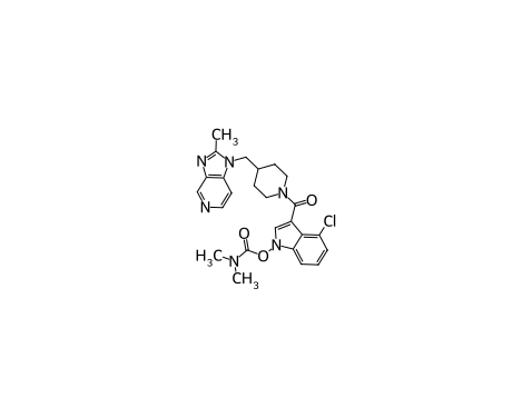 Cc1nc2cnccc2n1CC1CCN(C(=O)c2cn(OC(=O)N(C)C)c3cccc(Cl)c23)CC1